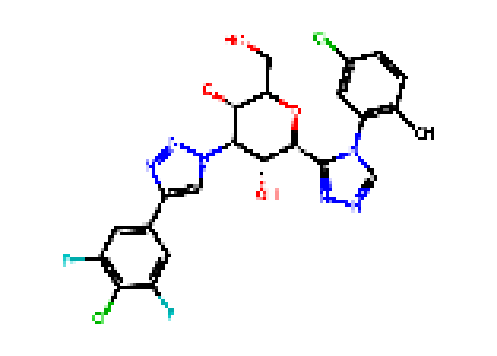 N#Cc1ccc(Cl)cc1-n1cnnc1[C@@H]1O[C@H](CO)[C@H](O)[C@H](n2cc(-c3cc(F)c(Cl)c(F)c3)nn2)[C@H]1O